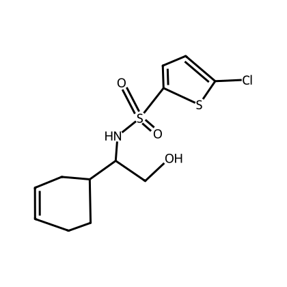 O=S(=O)(NC(CO)C1CC=CCC1)c1ccc(Cl)s1